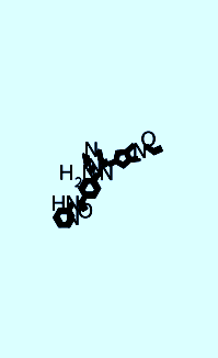 C=CC(=O)N1CC2CC(C3=C4C=NC=C[N+]4(N)C(c4ccc(C(=O)Nc5ccccn5)cc4)=N3)CC2C1